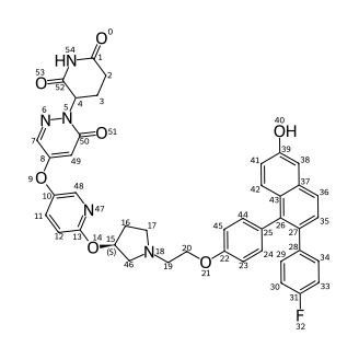 O=C1CCC(n2ncc(Oc3ccc(O[C@H]4CCN(CCOc5ccc(-c6c(-c7ccc(F)cc7)ccc7cc(O)ccc67)cc5)C4)nc3)cc2=O)C(=O)N1